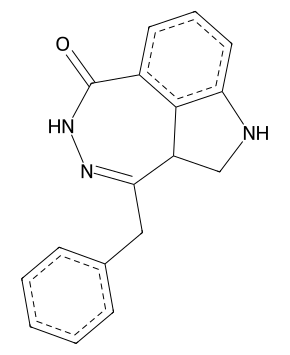 O=C1NN=C(Cc2ccccc2)C2CNc3cccc1c32